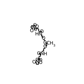 CC(COCCCCNC(=O)CCC(=O)ON1C(=O)CCC1=O)OCCOCCNC(=O)CCC(=O)ON1C(=O)CCC1=O